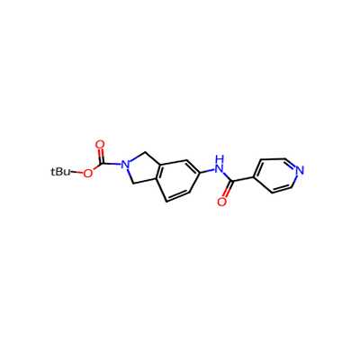 CC(C)(C)OC(=O)N1Cc2ccc(NC(=O)c3ccncc3)cc2C1